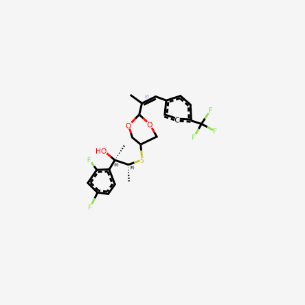 C/C(=C/c1ccc(C(F)(F)F)cc1)C1OCC(S[C@H](C)[C@](C)(O)c2ccc(F)cc2F)CO1